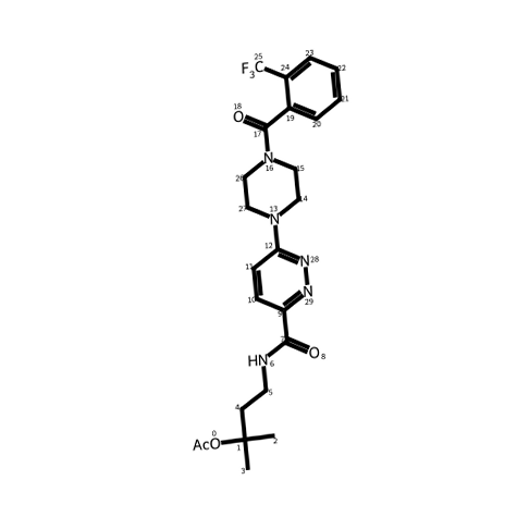 CC(=O)OC(C)(C)CCNC(=O)c1ccc(N2CCN(C(=O)c3ccccc3C(F)(F)F)CC2)nn1